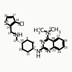 CN(C)c1nc(N[C@H]2CC[C@@H](CNCc3sccc3Cl)CC2)nc2ccccc12